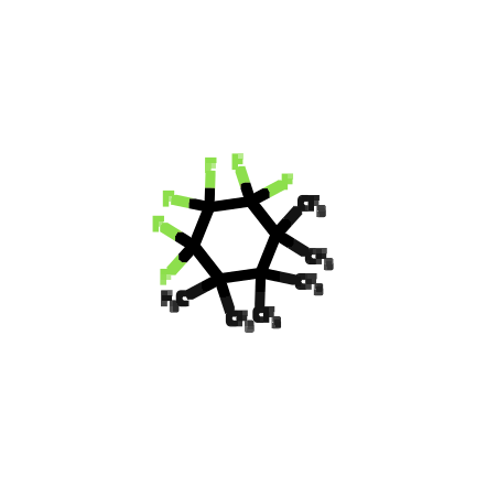 FC(F)(F)C1(C(F)(F)F)C(F)(F)C(F)(F)C(F)(F)C(C(F)(F)F)(C(F)(F)F)C1(C(F)(F)F)C(F)(F)F